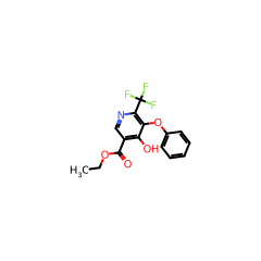 CCOC(=O)c1cnc(C(F)(F)F)c(Oc2ccccc2)c1O